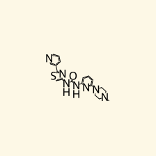 CN1CCN(c2cccc(NC(=O)Nc3csc(-c4cccnc4)n3)n2)CC1